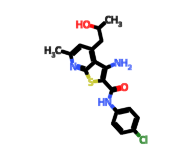 Cc1cc(CC(C)O)c2c(N)c(C(=O)Nc3ccc(Cl)cc3)sc2n1